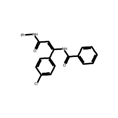 CC(C)NC(=O)C=C(NC(=O)c1ccccc1)c1ccc(Cl)cc1